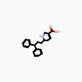 O=C(O)C1=CCC(CCC(c2ccccc2)c2ccccc2)NC1